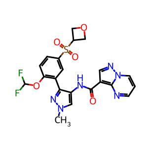 Cn1cc(NC(=O)c2cnn3cccnc23)c(-c2cc(S(=O)(=O)C3COC3)ccc2OC(F)F)n1